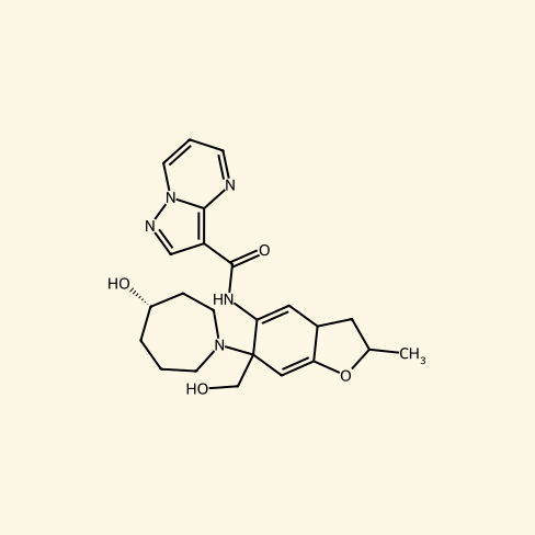 CC1CC2C=C(NC(=O)c3cnn4cccnc34)C(CO)(N3CCC[C@H](O)CC3)C=C2O1